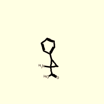 NC1(C(=O)O)CC1c1ccccc1